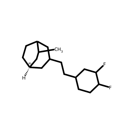 CC1C[C@@H]2CCC1CC(CCC1CCC(F)C(F)C1)C2